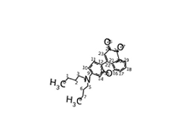 CCCCN(CCCC)c1ccc2c(c1)Oc1cccc3c1C2=CC(=O)C3=O